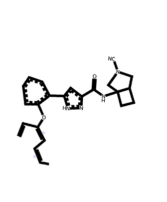 C=C/C(=C\C=C/C)Oc1ccccc1-c1cc(C(=O)NC23CCC2CN(C#N)C3)n[nH]1